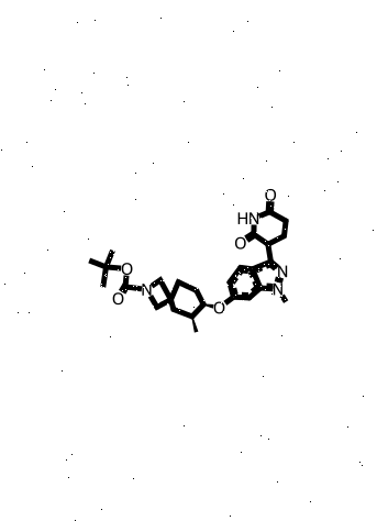 C[C@H]1CC2(CC[C@H]1Oc1ccc3c(C4CCC(=O)NC4=O)nn(C)c3c1)CN(C(=O)OC(C)(C)C)C2